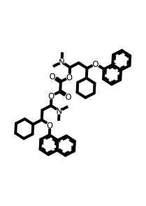 CN(C)C(CC(Oc1cccc2ccccc12)C1CCCCC1)OC(=O)C(=O)OC(CC(Oc1cccc2ccccc12)C1CCCCC1)N(C)C